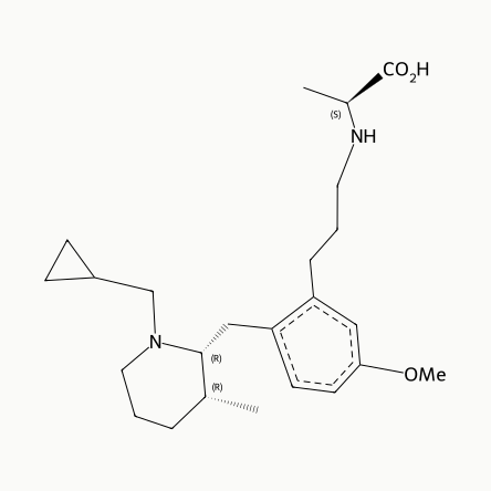 COc1ccc(C[C@@H]2[C@H](C)CCCN2CC2CC2)c(CCCN[C@@H](C)C(=O)O)c1